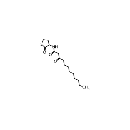 CCCCCCCCCC(=O)CC(=O)NC1CCSC1=O